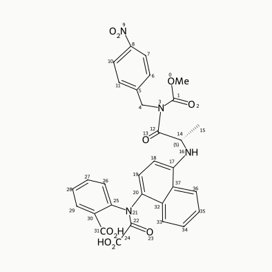 COC(=O)N(Cc1ccc([N+](=O)[O-])cc1)C(=O)[C@H](C)Nc1ccc(N(C(=O)C(=O)O)c2ccccc2C(=O)O)c2ccccc12